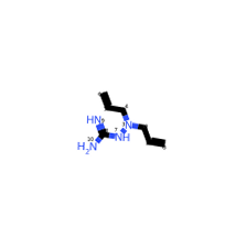 C=CCN(CC=C)NC(=N)N